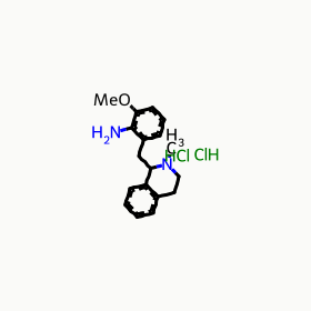 COc1cccc(CC2c3ccccc3CCN2C)c1N.Cl.Cl